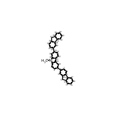 Cn1c2ccc(-c3ccc4c(c3)Cc3ccccc3-4)cc2c2ccc(-c3ccc4c(c3)-c3ccccc3C4)cc21